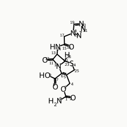 NC(=O)OCC1=C(C(=O)O)N2C(=O)C(NC(=O)Cn3cnnn3)[C@@H]2SC1